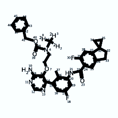 [2H]C([2H])([2H])N(CCOc1c(N)ncnc1-c1cc(F)cc(NC(=O)c2cc3c(cc2F)C2(CC3)CC2)c1C)C(=O)OCc1ccccc1